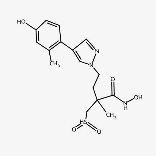 Cc1cc(O)ccc1-c1cnn(CCC(C)(C[SH](=O)=O)C(=O)NO)c1